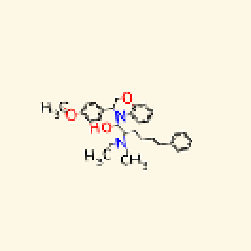 CCN(CC)C(CCC=Cc1ccccc1)C(O)N1c2ccccc2OCC1c1ccc(OC)cc1